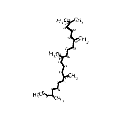 CSCC(C)CCCCC(C)CCCC(C)CCCC(C)CCCC(C)C